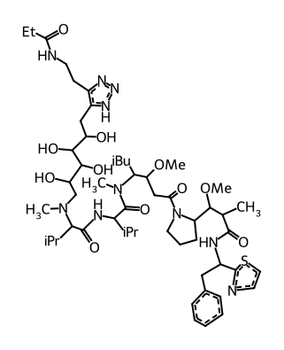 CCC(=O)NCCc1nn[nH]c1CC(O)C(O)C(O)C(O)CN(C)C(C(=O)NC(C(=O)N(C)C(C(C)CC)C(CC(=O)N1CCCC1C(OC)C(C)C(=O)NC(Cc1ccccc1)c1nccs1)OC)C(C)C)C(C)C